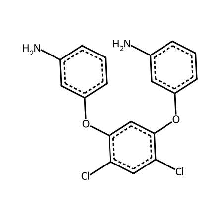 Nc1cccc(Oc2cc(Oc3cccc(N)c3)c(Cl)cc2Cl)c1